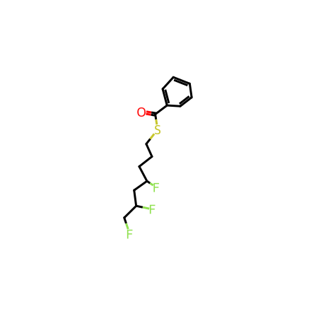 O=C(SCCCC(F)CC(F)CF)c1ccccc1